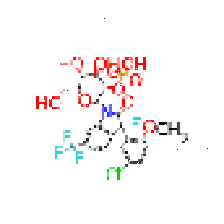 COc1ccc(Cl)cc1[C@]1(F)C(=O)N([C@@H]2O[C@H](CO)[C@@H](O)[C@H](O)[C@H]2OP(=O)(O)O)c2cc(C(F)(F)F)ccc21